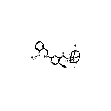 COc1ccccc1CNc1ncc(C#N)c(NC[C@@]23CC4C[C@H](C2)[C@@H](N)[C@@H](C4)C3)n1